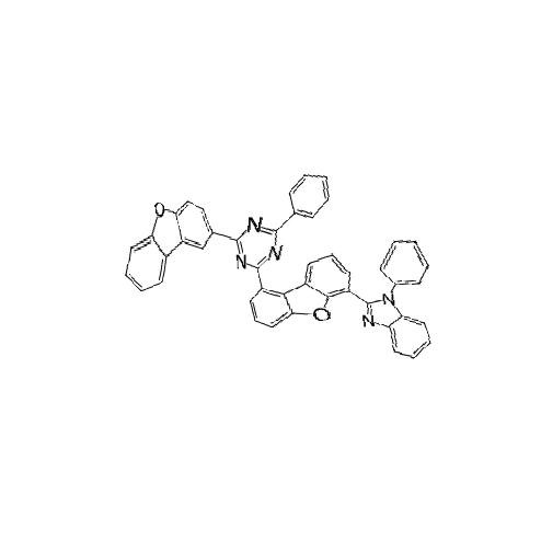 c1ccc(-c2nc(-c3ccc4oc5ccccc5c4c3)nc(-c3cccc4oc5c(-c6nc7ccccc7n6-c6ccccc6)cccc5c34)n2)cc1